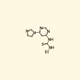 CCNC(=S)Nc1cc(-n2ccnc2)ncn1